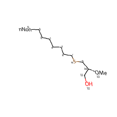 CCCCCCCCCCCCCCCCSCC(CO)OC